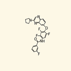 O=C(Nc1cc(F)c(Oc2ccc3ncc(N4CCCC4)nc3c2)c(F)c1F)c1cccc(F)c1